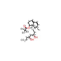 CCC(CC)(CC)C(=O)O[C@H]1CCC=C2C=C[C@@H](C)[C@H](CC[C@@H](O)C[C@@H](O)CC(=O)O)[C@H]21